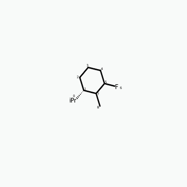 CC(C)[C@@H]1CCCC(F)C1C